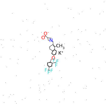 CC1=C(CN2CC(C(=O)[O-])C2)CCc2cc(OCc3ccc(C(F)(F)F)cc3C(F)(F)F)ccc21.[K+]